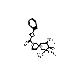 CC1(C)C[C@@]2(C=C(N)C1=O)CCN(C(=O)C1CC(c3ccccc3)C1)C2